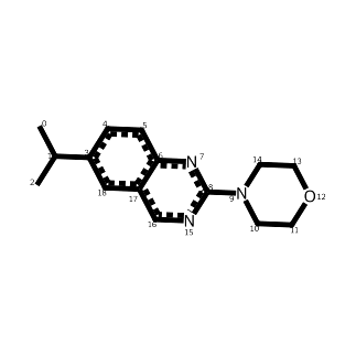 CC(C)c1ccc2nc(N3CCOCC3)ncc2c1